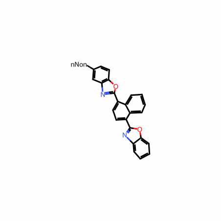 CCCCCCCCCc1ccc2oc(-c3ccc(-c4nc5ccccc5o4)c4ccccc34)nc2c1